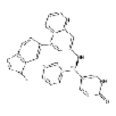 Cn1ccc2ccc(-c3cc(N[C@H](c4cccnc4)c4ccc(=O)[nH]c4)cc4nccnc34)cc21